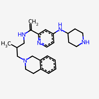 C=C(NCC(C)CN1CCc2ccccc2C1)c1cc(NC2CCNCC2)ccn1